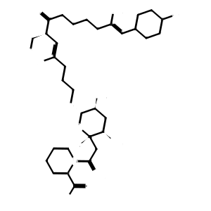 C=C(CCCC/C(C)=C/C1CCC(O)CC1)[C@@H](/C=C(\C)CCCC[C@H]1O[C@@](N)(CC(=C)N2CCCCC2C(C)=O)[C@H](C)C[C@@H]1C)CC